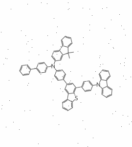 CC1(C)c2ccccc2-c2ccc(N(c3ccc(-c4ccccc4)cc3)c3ccc(-c4cc(-c5ccc(-n6c7ccccc7c7ccccc76)cc5)c5sc6ccccc6c5c4)cc3)cc21